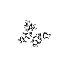 Cc1ccc(S(=O)(=O)n2cc(-c3nc(NC4C5CCC(CC5)C4C(=O)O)c(F)c(-c4ccco4)n3)c3cc(F)cc(F)c32)cc1